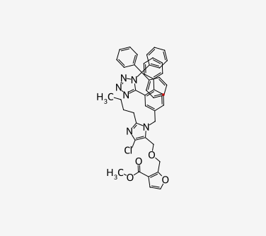 CCCCc1nc(Cl)c(COCc2occc2C(=O)OC)n1Cc1ccc(-c2ccccc2)c(-c2nnnn2C(c2ccccc2)(c2ccccc2)c2ccccc2)c1